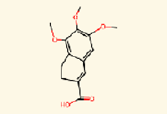 COc1cc2c(c(OC)c1OC)CCC(C(=O)O)=C2